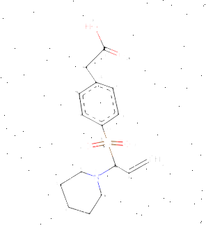 C=CC(N1CCCCC1)S(=O)(=O)c1ccc(CC(=O)O)cc1